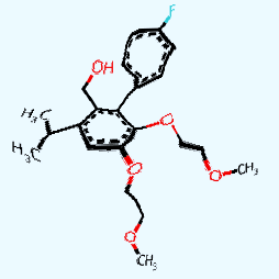 COCCOc1cc(C(C)C)c(CO)c(-c2ccc(F)cc2)c1OCCOC